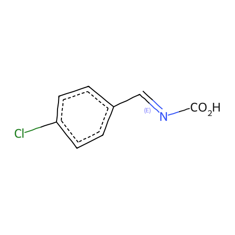 O=C(O)/N=C/c1ccc(Cl)cc1